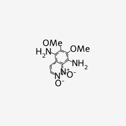 COc1c(OC)c(N)c2c(cc[n+]([O-])[n+]2[O-])c1N